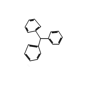 N.c1ccc(C(c2ccccc2)c2ccccc2)cc1